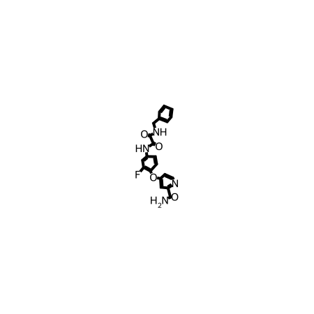 NC(=O)c1cc(Oc2ccc(NC(=O)C(=O)NCc3ccccc3)cc2F)ccn1